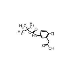 CC(C)(C)OC(=O)Nc1ccc(Cl)c(CC(=O)O)c1